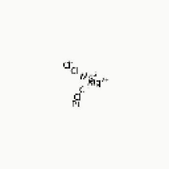 [Cl-].[Cl-].[Cl-].[Cl-].[Mg+2].[Mg+2].[Pt]